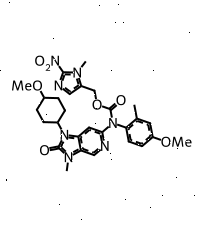 COc1ccc(N(C(=O)OCc2cnc([N+](=O)[O-])n2C)c2cc3c(cn2)n(C)c(=O)n3C2CCC(OC)CC2)c(C)c1